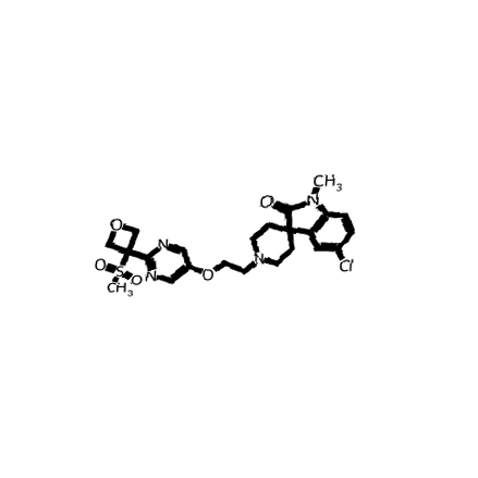 CN1C(=O)C2(CCN(CCOc3cnc(C4(S(C)(=O)=O)COC4)nc3)CC2)c2cc(Cl)ccc21